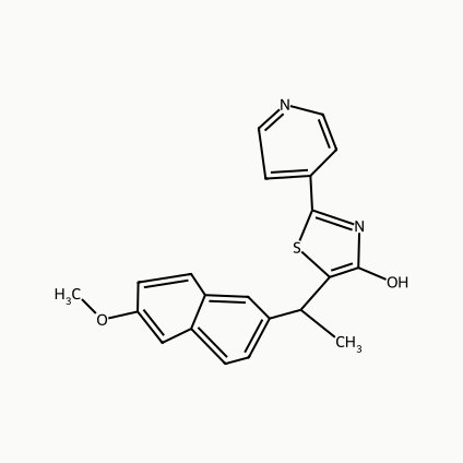 COc1ccc2cc(C(C)c3sc(-c4ccncc4)nc3O)ccc2c1